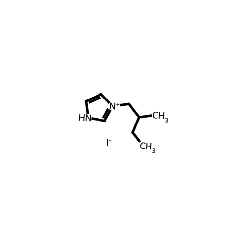 CCC(C)C[n+]1cc[nH]c1.[I-]